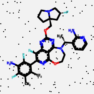 Cc1c(F)c(N)c(F)c(-c2nc3c4c(nc(OC[C@@]56CCCN5C[C@H](F)C6)nc4c2F)N([C@H](C)c2cccnc2N)CCO3)c1C(F)(F)F